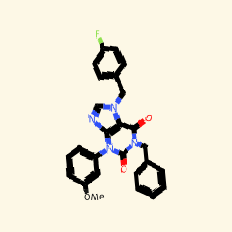 COc1cccc(-n2c(=O)n(Cc3ccccc3)c(=O)c3c2ncn3Cc2ccc(F)cc2)c1